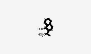 CC(C(=O)O)c1ccc2ccccc2c1C=O